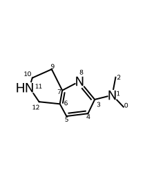 CN(C)c1ccc2c(n1)CCNC2